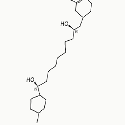 CC1=CCCC(C[C@H](O)CCCCCCC[C@H](O)C2CCC(C)CC2)C1